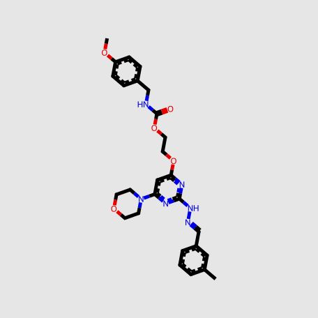 COc1ccc(CNC(=O)OCCOc2cc(N3CCOCC3)nc(N/N=C/c3cccc(C)c3)n2)cc1